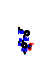 CCCNc1ccccc1CNc1ncnc2cc(NCC)c([N+](=O)[O-])cc12